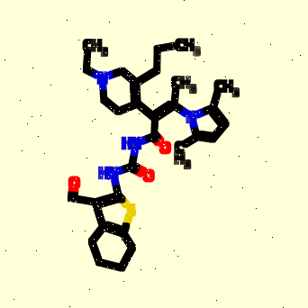 CCCC1=C(/C(C(=O)NC(=O)Nc2sc3c(c2C=O)CCCC3)=C(\C)n2c(C)ccc2C)CCN(CC)C1